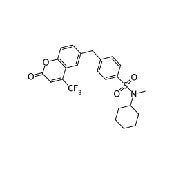 CN(C1CCCCC1)S(=O)(=O)c1ccc(Cc2ccc3oc(=O)cc(C(F)(F)F)c3c2)cc1